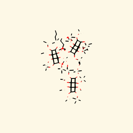 CCC[Si](C)(C)OC12C3(O[SiH2]C)C4(O[SiH2]C)C5(O[SiH2]C)C3(O[SiH2]C)C1(O[Si](C)(C)CCC)C5(O[Si](C)(C)O/C=[Si](\C)OC13C5(O[SiH2]C)C6(O[SiH2]C)C7(OC)C5(O[Si](C)(C)C)C1(O[Si](C)(C)O/C=[Si](/C)OC15C8(O[SiH2]C)C9(O[SiH2]C)C1(O[SiH2]C)C1(O[Si](C)(C)C)C9(O[Si](C)(C)C)C8(O[Si](C)(C)C)C51O[Si](C)(C)C)C7(O[Si](C)(C)C)C63O[SiH2]C)C42O[Si](C)(C)C